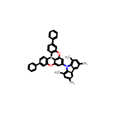 Cc1cc(C)c2c(c1)c1cc(C)cc(C)c1n2-c1cc2c3c(c1)Oc1cc(-c4ccccc4)ccc1B3c1ccc(-c3ccccc3)cc1O2